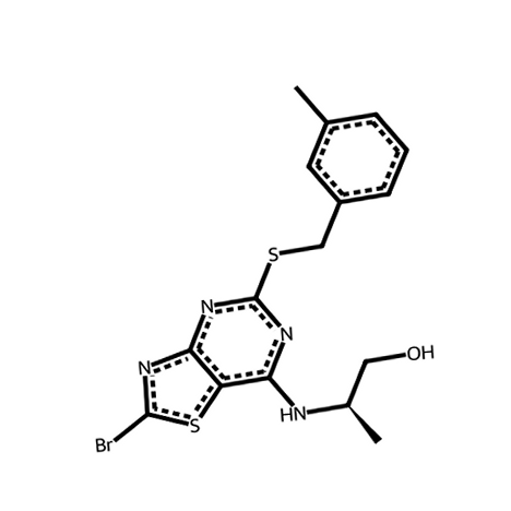 Cc1cccc(CSc2nc(N[C@H](C)CO)c3sc(Br)nc3n2)c1